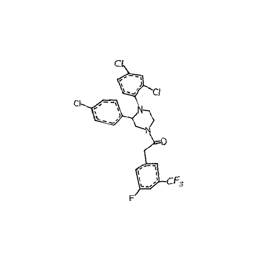 O=C(Cc1cc(F)cc(C(F)(F)F)c1)N1CCN(c2ccc(Cl)cc2Cl)C(c2ccc(Cl)cc2)C1